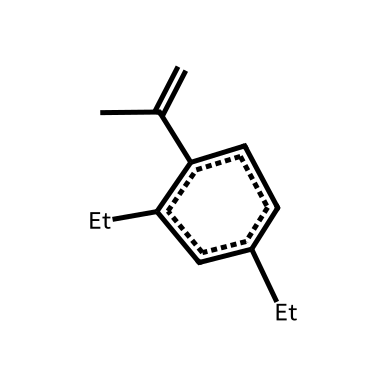 C=C(C)c1ccc(CC)cc1CC